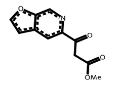 COC(=O)CC(=O)c1cc2ccoc2cn1